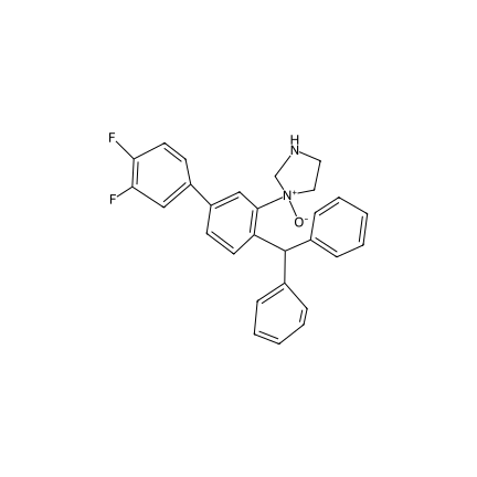 [O-][N+]1(c2cc(-c3ccc(F)c(F)c3)ccc2C(c2ccccc2)c2ccccc2)CCNC1